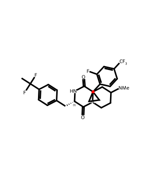 CNC1CCN(C(=O)[C@H](Cc2ccc(C(C)(F)F)cc2)NC(=O)C2(c3ccc(C(F)(F)F)cc3F)CC2)CC1